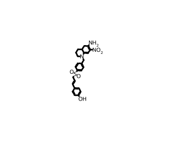 NC1=C([N+](=O)[O-])C=C2C(CCCN2Cc2ccc(S(=O)(=O)CC=Cc3ccc(O)cc3)cc2)C1